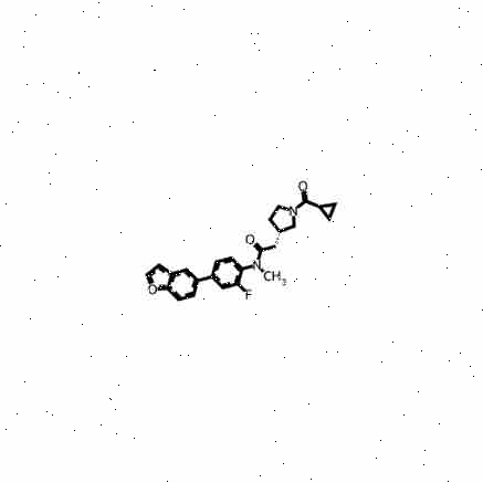 CN(C(=O)C[C@@H]1CCN(C(=O)C2CC2)C1)c1ccc(-c2ccc3occc3c2)cc1F